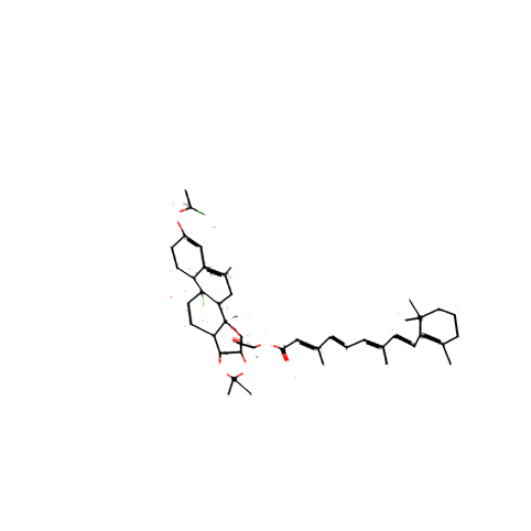 CC1=C(/C=C/C(C)=C/C=C/C(C)=C/C(=O)OCC(=O)[C@@]23OC(C)(C)O[C@@H]2C[C@H]2[C@@H]4CC(C=O)=C5C=C(OC(C)Cl)CC[C@]5(C)[C@@]4(F)[C@@H](O)C[C@@]23C)C(C)(C)CCC1